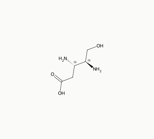 N[C@H](CO)[C@@H](N)CC(=O)O